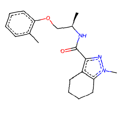 Cc1ccccc1OC[C@@H](C)NC(=O)c1nn(C)c2c1CCCC2